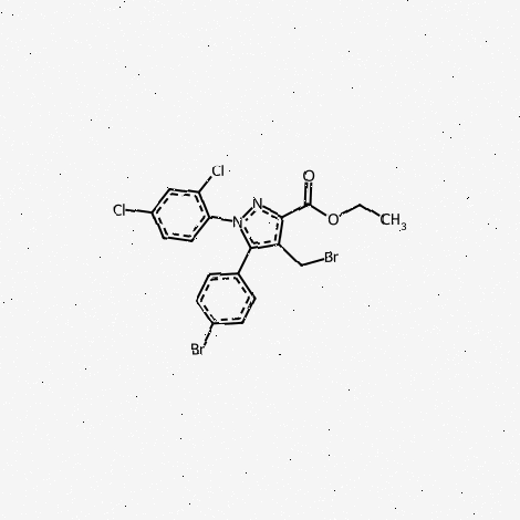 CCOC(=O)c1nn(-c2ccc(Cl)cc2Cl)c(-c2ccc(Br)cc2)c1CBr